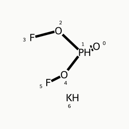 O=[PH](OF)OF.[KH]